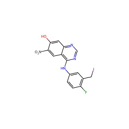 O=[N+]([O-])c1cc2c(Nc3ccc(F)c(CI)c3)ncnc2cc1O